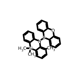 Cc1cccc2c1N(B1c3ccccc3Oc3ccccc31)c1ccccc1[Si]2(C)C